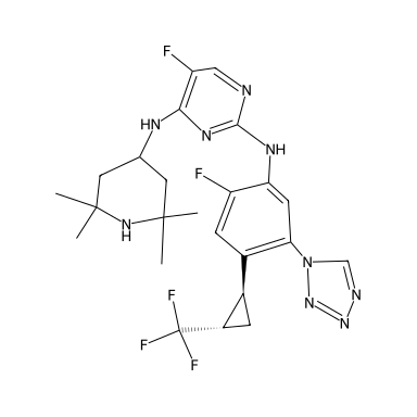 CC1(C)CC(Nc2nc(Nc3cc(-n4cnnn4)c([C@H]4C[C@@H]4C(F)(F)F)cc3F)ncc2F)CC(C)(C)N1